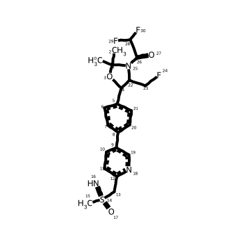 CC1(C)OC(c2ccc(-c3ccc(CS(C)(=N)=O)nc3)cc2)C(CF)N1C(=O)C(F)F